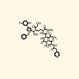 CNC(=O)C(CCN(C(=O)CO)C(c1cc(-c2cc(F)ccc2F)cn1Cc1ccccc1)C(C)(C)C)NC(=O)C(CC(N)=O)NC(=O)C(C)NC(=O)C(C)NC(=O)Cc1ccncc1